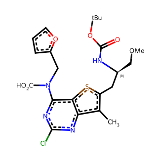 COC[C@@H](Cc1sc2c(N(Cc3ccco3)C(=O)O)nc(Cl)nc2c1C)NC(=O)OC(C)(C)C